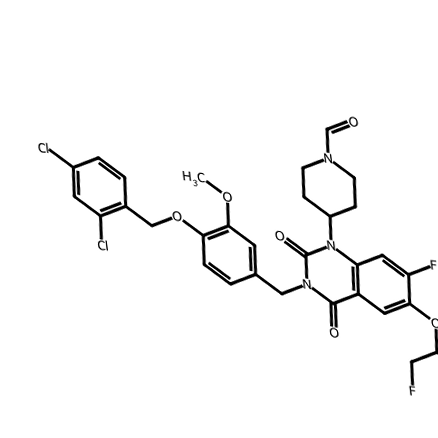 COc1cc(Cn2c(=O)c3cc(OC(CF)CF)c(F)cc3n(C3CCN(C=O)CC3)c2=O)ccc1OCc1ccc(Cl)cc1Cl